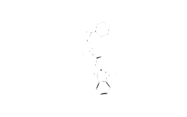 CCC1(CC(=O)NCCN(C)C2CCCCC2)Nc2ccccc2N1